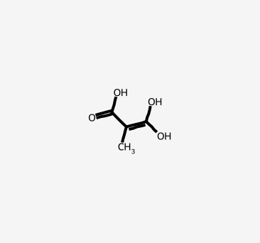 CC(C(=O)O)=C(O)O